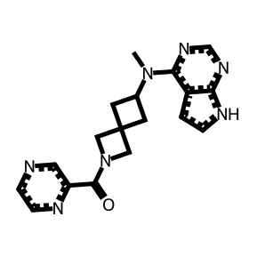 CN(c1ncnc2[nH]ccc12)C1CC2(C1)CN(C(=O)c1cnccn1)C2